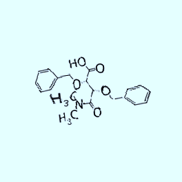 CN(C)C(=O)[C@@H](OCc1ccccc1)[C@H](OCc1ccccc1)C(=O)O